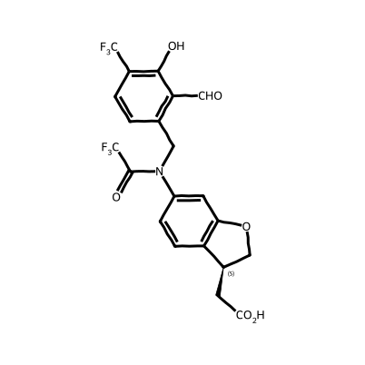 O=Cc1c(CN(C(=O)C(F)(F)F)c2ccc3c(c2)OC[C@H]3CC(=O)O)ccc(C(F)(F)F)c1O